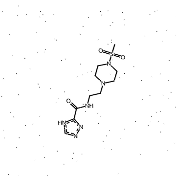 CS(=O)(=O)N1CCN(CCNC(=O)c2nnc[nH]2)CC1